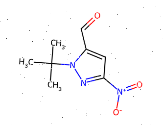 CC(C)(C)n1nc([N+](=O)[O-])cc1C=O